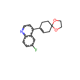 Fc1ccc2nccc(C3=CCC4(CC3)OCCO4)c2c1